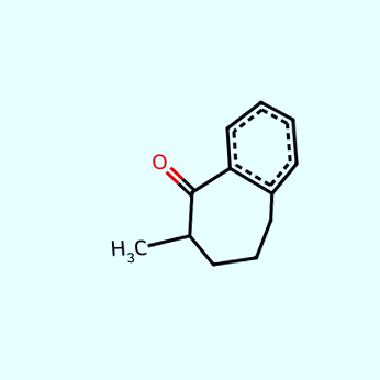 CC1CCCc2ccccc2C1=O